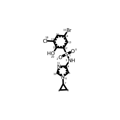 O=S(=O)(Nc1cn(C2CC2)cn1)c1cc(Br)cc(Cl)c1O